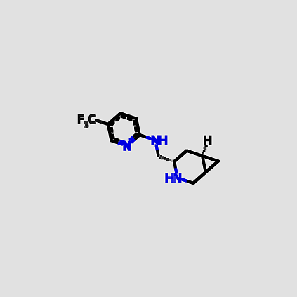 FC(F)(F)c1ccc(NC[C@@H]2C[C@H]3CC3CN2)nc1